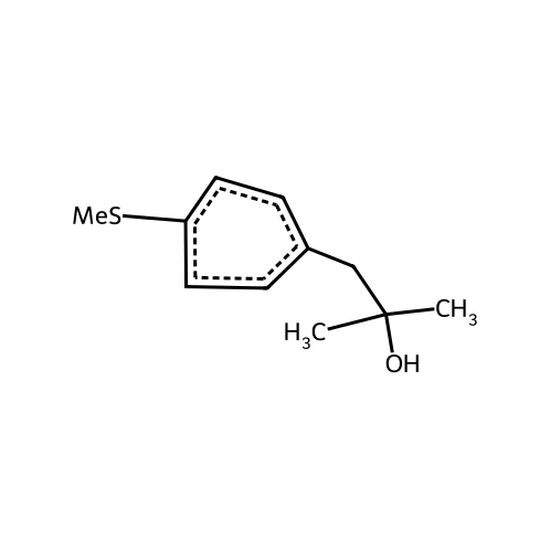 CSc1ccc(CC(C)(C)O)cc1